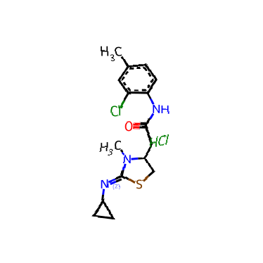 Cc1ccc(NC(=O)CC2CS/C(=N\C3CC3)N2C)c(Cl)c1.Cl